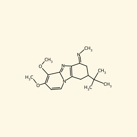 CN=C1CC(C(C)(C)C)Cc2c1nc1c(OC)c(OC)ccn21